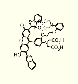 O=C(O)CN(CC(=O)O)c1ccccc1OCCOc1cc(-c2c3cc(-c4cc5ccccc5s4)c(=O)cc-3oc3cc(O)c(-c4cc5ccccc5s4)cc23)ccc1N(CC(=O)O)CC(=O)O